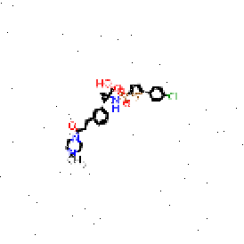 CN1CCN(C(=O)CCc2cccc([C@@H]3C[C@]3(NS(=O)(=O)c3ccc(-c4ccc(Cl)cc4)s3)C(=O)O)c2)CC1